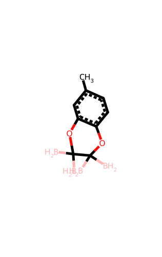 BC1(B)Oc2ccc(C)cc2OC1(B)B